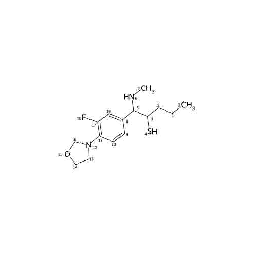 CCCC(S)C(NC)c1ccc(N2CCOC2)c(F)c1